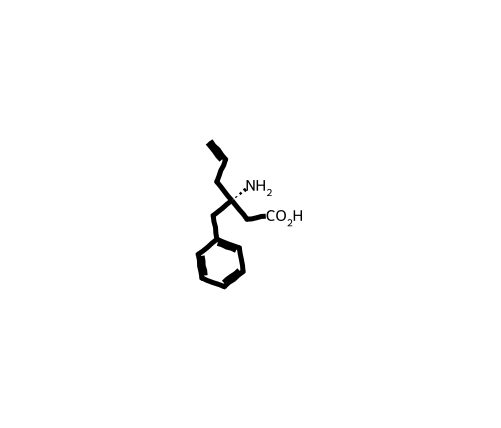 C=CC[C@@](N)(CC(=O)O)Cc1ccccc1